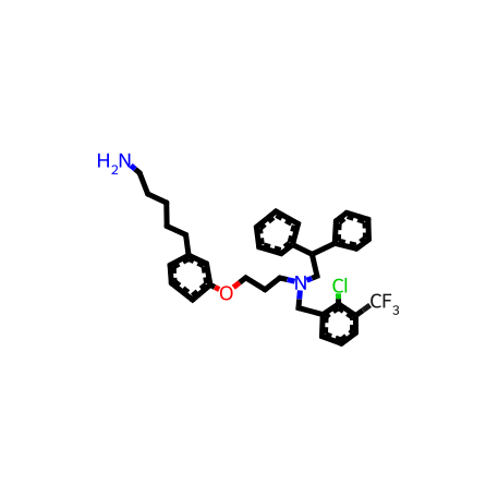 NCCCCCc1cccc(OCCCN(Cc2cccc(C(F)(F)F)c2Cl)CC(c2ccccc2)c2ccccc2)c1